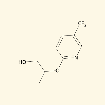 CC(CO)Oc1ccc(C(F)(F)F)cn1